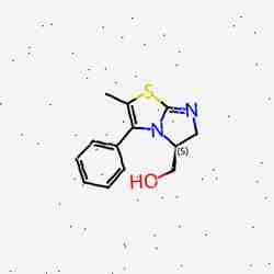 CC1=C(c2ccccc2)N2C(=NC[C@H]2CO)S1